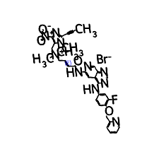 CC#Cc1nc([N+](=O)[O-])c(C[N+](C)(C)C/C=C/C(=O)Nc2cc3c(Nc4ccc(OCc5ccccn5)c(F)c4)ncnc3cn2)n1C.[Br-]